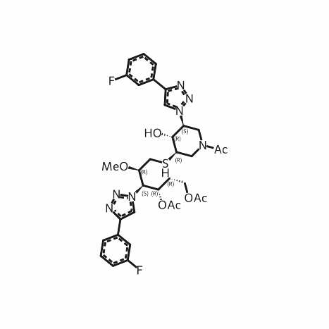 CO[C@H]1C[SH]([C@@H]2CN(C(C)=O)C[C@H](n3cc(-c4cccc(F)c4)nn3)[C@H]2O)[C@H](COC(C)=O)[C@H](OC(C)=O)[C@H]1n1cc(-c2cccc(F)c2)nn1